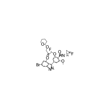 COc1cc(-c2c3c(OCCCOC4CCCCO4)cc(Br)cc3nn2C)cc(OC(F)F)c1C(=O)N[C@@H]1C[C@@H]1F